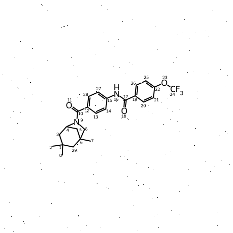 CC1(C)CC2CC(C)(CN2C(=O)c2ccc(NC(=O)c3ccc(OC(F)(F)F)cc3)cc2)C1